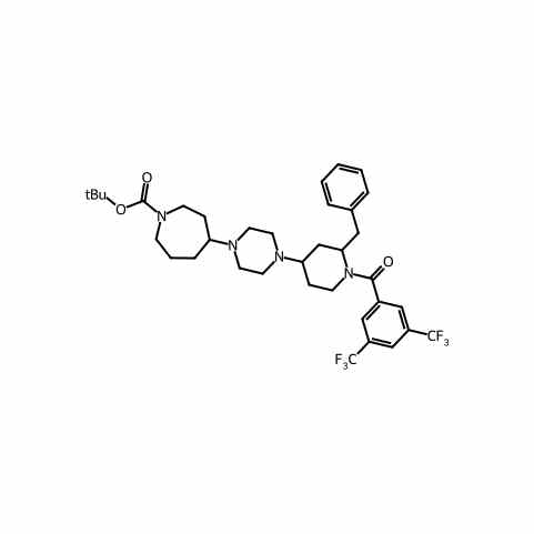 CC(C)(C)OC(=O)N1CCCC(N2CCN(C3CCN(C(=O)c4cc(C(F)(F)F)cc(C(F)(F)F)c4)C(Cc4ccccc4)C3)CC2)CC1